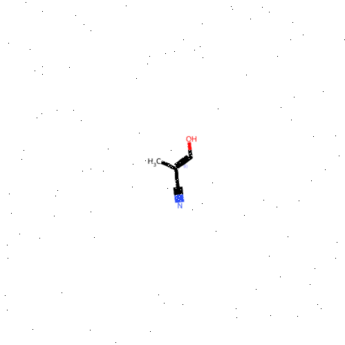 C/C(C#N)=C\O